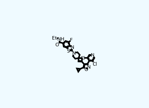 CCNC(=O)c1cc(F)c2nc(N3CCC4(C=C(c5c(-c6c(Cl)cncc6Cl)noc5C5CC5)C4)CC3)sc2c1